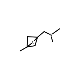 CN(C)CC12CC(C)(C1)C2